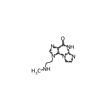 CNCCn1cnc2c(=O)[nH]c3nccn3c21